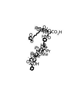 CC[C@H](C)[C@@H]([C@@H](CC(=O)N1CCC[C@H]1[C@H](OC)[C@@H](C)C(=O)N[C@H](C)[C@@H](O)c1ccccc1)OC)N(C)C(=O)[C@@H](NC(=O)[C@H](C(C)C)N(C)C(=O)OCc1ccc(NC(=O)[C@H](CCC(=O)O)NC(=O)[C@H](C)NC(=O)[C@@H](CC(C)C)NC(=O)CCCCCN2C(=O)C=CC2=O)cc1)C(C)C